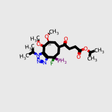 COC1c2c(nnn2C(C)C)C(F)(P)CC(C(=O)CCC(=O)OC(C)C)C[C@@H]1OC